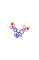 CC(C)(C)OC(=O)N1CC=C(c2c3c(nc4ccnn24)CCN(C(=O)OC(C)(C)C)CC3)CC1